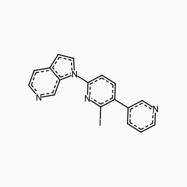 Ic1nc(-n2ccc3ccncc32)ccc1-c1cccnc1